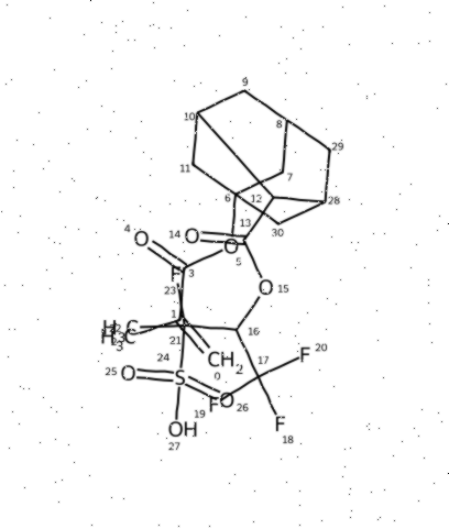 C=C(C)C(=O)OC12CC3CC(C1)C(C(=O)OC(C(F)(F)F)C(C)(F)S(=O)(=O)O)C(C3)C2